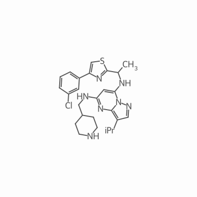 CC(C)c1cnn2c(NC(C)c3nc(-c4cccc(Cl)c4)cs3)cc(NCC3CCNCC3)nc12